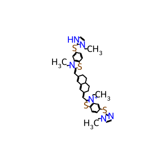 CCN1/C(=C/C2=CC3=C/C(=C/c4sc5ccc(Sc6nccn6CC)cc5[n+]4CC)CCC3CC2)Sc2ccc(SC3NC=CN3CC)cc21